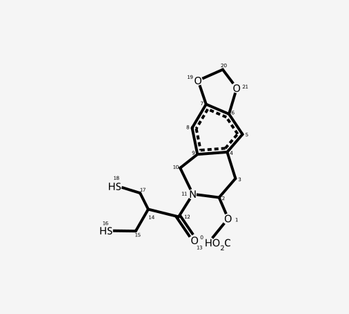 O=C(O)OC1Cc2cc3c(cc2CN1C(=O)C(CS)CS)OCO3